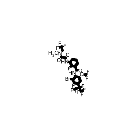 CN(CC(F)(F)F)C(=O)C(=O)Nc1cccc(C(=O)Nc2c(Br)cc(C(F)(C(F)(F)F)C(F)(F)F)cc2OC(F)F)c1F